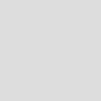 COc1cc(Cc2cc3c(cc2C2SCCCS2)OCO3)cc(OC)c1OC